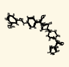 O=C(c1ccc(COc2cccc(Cl)c2)cc1)N1CC(N2CCN(C(=O)c3cscn3)CC2)C1